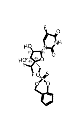 O=c1[nH]c(=O)n([C@@H]2O[C@@](COP3(=S)OCc4ccccc4O3)(C(F)F)[C@H](O)[C@H]2O)cc1F